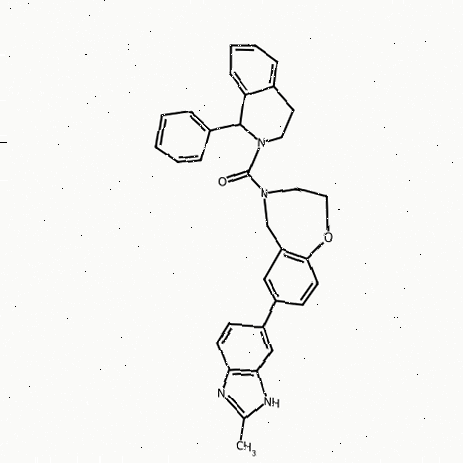 Cc1nc2ccc(-c3ccc4c(c3)CN(C(=O)N3CCc5ccccc5C3c3ccccc3)CCO4)cc2[nH]1